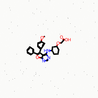 COc1ccc(-c2c(-c3ccccc3)oc3ncnc(NC4CCCC(OCC(=O)O)C4)c23)cc1